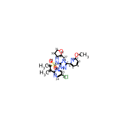 COc1cccc(-c2nnc(NS(=O)(=O)[C@@H](C)[C@H](C)c3ncc(Cl)cn3)n2C[C@H]2CCCO2)n1